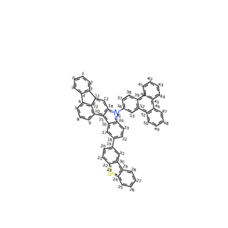 c1ccc2c(c1)-c1cccc3c1c-2cc1c3c2cc(-c3ccc4sc5ccccc5c4c3)ccc2n1-c1ccc2c3ccccc3c3ccccc3c2c1